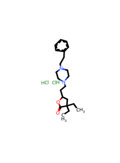 CCC1(CC)CC(CCN2CCN(CCc3ccccc3)CC2)OC1=O.Cl.Cl